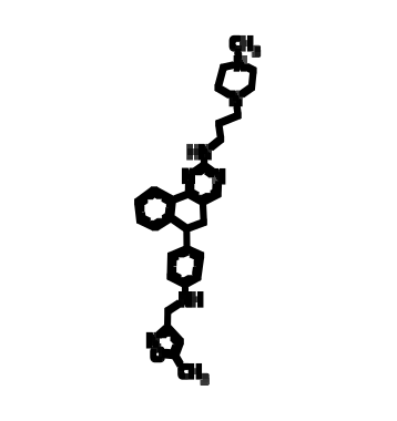 Cc1cc(CNc2ccc(C3Cc4cnc(NCCCN5CCN(C)CC5)nc4-c4ccccc43)cc2)no1